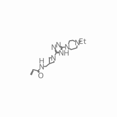 C=CC(=O)NCC1CN(c2nnc(N3CCN(CC)CC3)[nH]2)C1